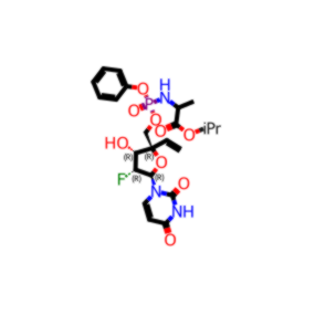 C=C[C@]1(COP(=O)(NC(C)C(=O)OC(C)C)Oc2ccccc2)O[C@@H](n2ccc(=O)[nH]c2=O)[C@H](F)[C@@H]1O